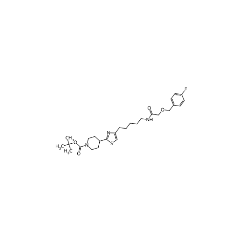 CC(C)(C)OC(=O)N1CCC(c2nc(CCCCCNC(=O)COCc3ccc(F)cc3)cs2)CC1